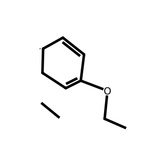 CC.CCOC1=CC[CH]C=C1